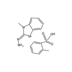 Cc1ccccc1S(=O)(=O)O.Cn1/c(=N/N)[se]c2ccccc21